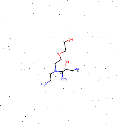 NCCN(CCOCCO)C(N)C(O)CN